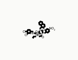 C=CCN(C(=O)NCc1ccc(Cl)c(Cl)c1)N1CC(=O)N2[C@@H](Cc3ccc([N+](=O)[O-])cc3)C(=O)N(Cc3cccc4ccccc34)C[C@@H]21